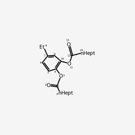 CCCCCCCC(=O)Oc1ccc(CC)cc1OC(=O)CCCCCCC